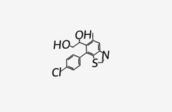 Cc1cc2ncsc2c(-c2ccc(Cl)cc2)c1[C@H](O)CO